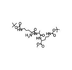 COC(=O)C(CCCNC(=O)OC(C)(C)C)NC(=O)C(C)NC(=O)C(N)CCCNC(=O)OC(C)(C)C